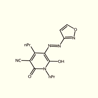 CCCc1c(N=Nc2ccon2)c(O)n(CCC)c(=O)c1C#N